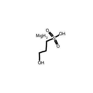 O=S(=O)(O)CCCO.[MgH2]